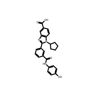 O=C(O)c1ccc2c(c1)nc(-c1cccc(C(=O)Nc3ccc(O)cc3)c1)n2C1CCCC1